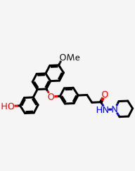 COc1ccc2c(Oc3ccc(CCC(=O)NN4CCCCC4)cc3)c(-c3cccc(O)c3)ccc2c1